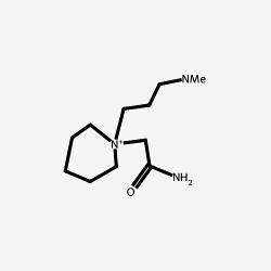 CNCCC[N+]1(CC(N)=O)CCCCC1